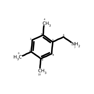 Cc1cc(C)c(CN)cc1C